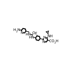 Nc1ccc(CNC(=O)Nc2ccc(-c3ncc(C(=O)O)c(NC4CC4)n3)cc2F)cn1